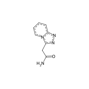 NC(=O)Cc1nnc2ccccn12